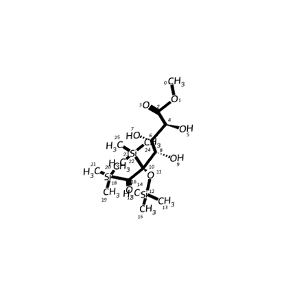 COC(=O)[C@@H](O)[C@@H](O)[C@H](O)[C@@](O[Si](C)(C)C)(C(=O)[Si](C)(C)C)[Si](C)(C)C